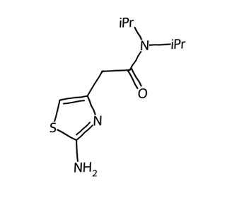 CC(C)N(C(=O)Cc1csc(N)n1)C(C)C